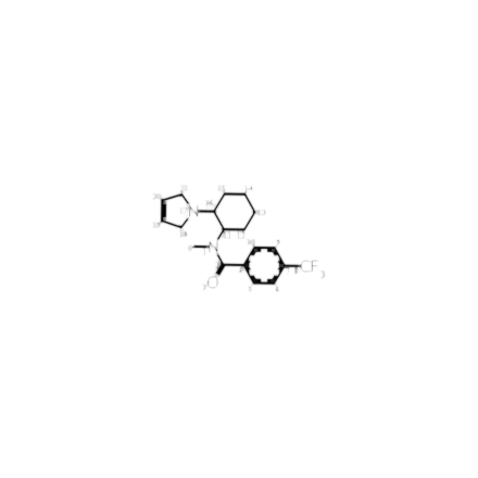 CN(C(=O)c1ccc(C(F)(F)F)cc1)C1CCCCC1N1CC=CC1